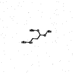 CCCCOC(C[CH2][Sn][CH2]CCC)OCCCC